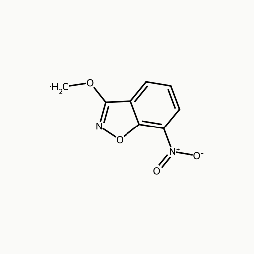 [CH2]Oc1noc2c([N+](=O)[O-])cccc12